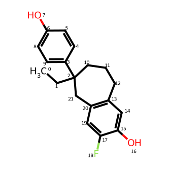 CCC1(c2ccc(O)cc2)CCCc2cc(O)c(F)cc2C1